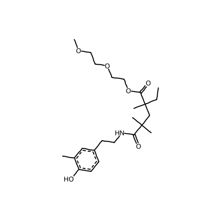 CCC(C)(CC(C)(C)C(=O)NCCc1ccc(O)c(C)c1)C(=O)OCCOCCOC